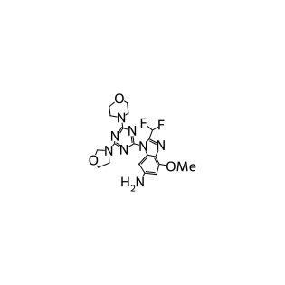 COc1cc(N)cc2c1nc(C(F)F)n2-c1nc(N2CCOCC2)nc(N2CCOC2)n1